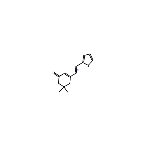 CC1(C)CC(=O)C=C(/C=C/c2cccs2)C1